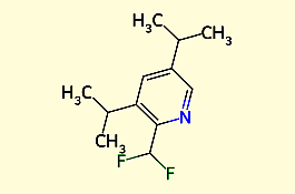 CC(C)c1cnc(C(F)F)c(C(C)C)c1